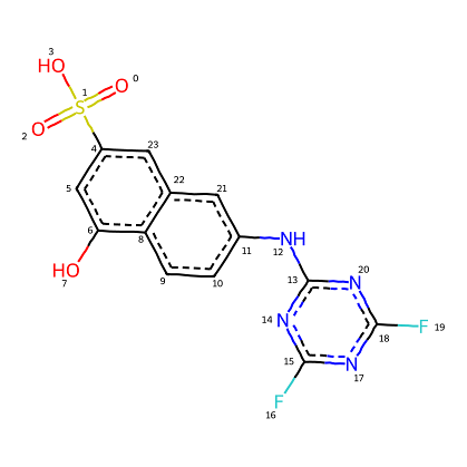 O=S(=O)(O)c1cc(O)c2ccc(Nc3nc(F)nc(F)n3)cc2c1